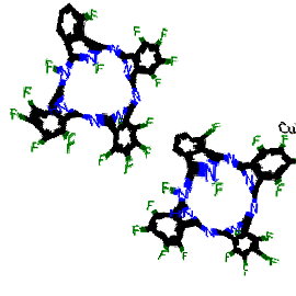 Fc1c(F)c(F)c2c(c1F)C1=NC2=Nc2c3c(F)cccc3c(n2F)N(F)c2[nH]c(c3c(F)c(F)c(F)c(F)c23)/N=c2/c3c(F)c(F)c(F)c(F)c3c(n2F)=N1.Fc1c(F)c(F)c2c(c1F)C1=NC2=Nc2c3c(F)cccc3c(n2F)N(F)c2[nH]c(c3c(F)c(F)c(F)c(F)c23)/N=c2/c3c(F)c(F)c(F)c(F)c3c(n2F)=N1.[Cu+2]